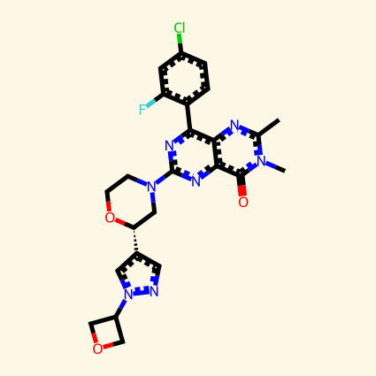 Cc1nc2c(-c3ccc(Cl)cc3F)nc(N3CCO[C@@H](c4cnn(C5COC5)c4)C3)nc2c(=O)n1C